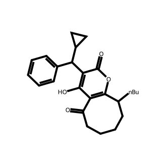 CCCCC1CCCCC(=O)c2c1oc(=O)c(C(c1ccccc1)C1CC1)c2O